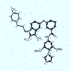 COc1cc(NC(=O)c2cccc(Cc3ccc4c(c3)c(C)c(C)n4CCCN3CCN(C)CC3)c2)cc(OC)c1-n1ccnc1